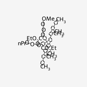 CCCOCCOCCOOc1ccc(C2(c3ccc(OCCOCCOCCOC)c(C(=O)OCC)c3)c3cc(-c4ccc5c(c4)C(C)(C)c4cc(-c6ccc(C)cc6)ccc4-5)ccc3-c3ccc(-c4ccc5c(c4)C(C)(C)c4cc(-c6ccc(C)cc6)ccc4-5)cc32)cc1C(=O)OCC